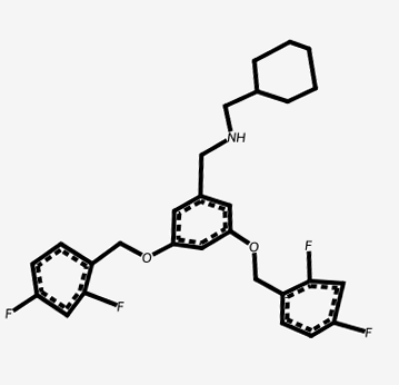 Fc1ccc(COc2cc(CNCC3CCCCC3)cc(OCc3ccc(F)cc3F)c2)c(F)c1